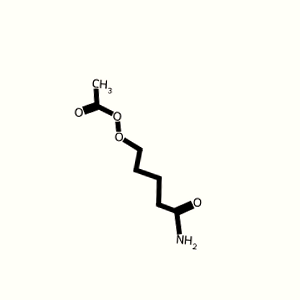 CC(=O)OOCCCCC(N)=O